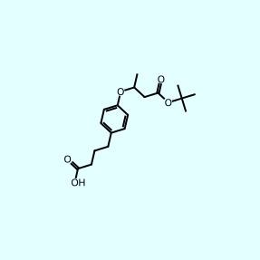 CC(CC(=O)OC(C)(C)C)Oc1ccc(CCCC(=O)O)cc1